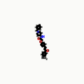 O=C(COc1ccc(C=CC(=O)c2ccc([N+](=O)[O-])cc2)cc1)NC1CCN(Cc2ccccc2)CC1